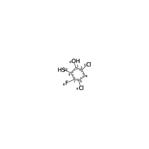 Oc1c(Cl)cc(Cl)c(F)c1S